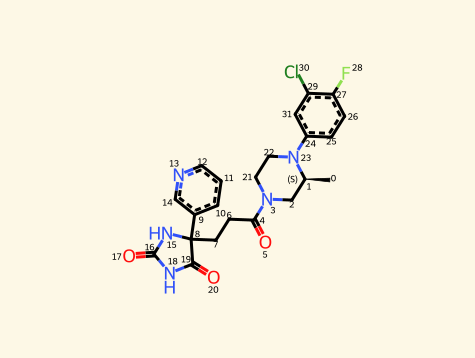 C[C@H]1CN(C(=O)CCC2(c3cccnc3)NC(=O)NC2=O)CCN1c1ccc(F)c(Cl)c1